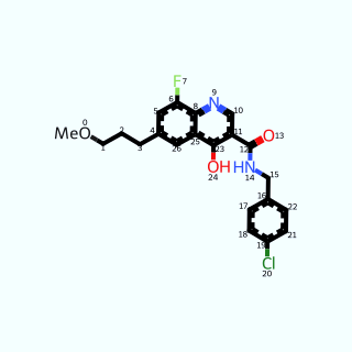 COCCCc1cc(F)c2ncc(C(=O)NCc3ccc(Cl)cc3)c(O)c2c1